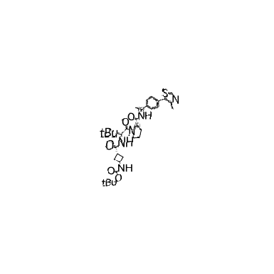 Cc1ncsc1-c1ccc([C@H](C)NC(=O)[C@@H]2CCCN2C(=O)C(NC(=O)[C@H]2C[C@@H](NC(=O)OC(C)(C)C)C2)C(C)(C)C)cc1